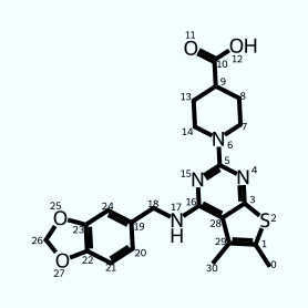 Cc1sc2nc(N3CCC(C(=O)O)CC3)nc(NCc3ccc4c(c3)OCO4)c2c1C